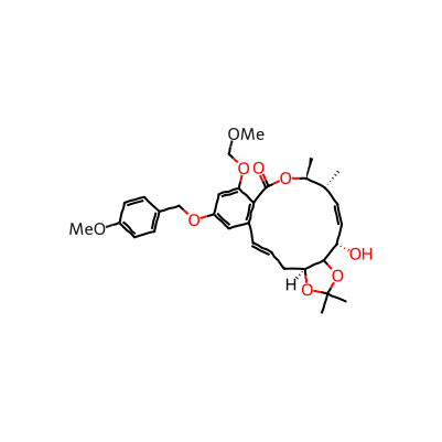 COCOc1cc(OCc2ccc(OC)cc2)cc2c1C(=O)O[C@@H](C)[C@H](C)/C=C\[C@H](O)C1OC(C)(C)O[C@H]1C/C=C/2